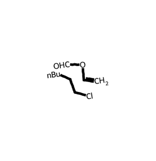 C=COC=O.CCCCCCCl